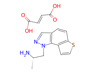 C[C@H](N)Cn1ncc2ccc3sccc3c21.O=C(O)C=CC(=O)O